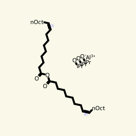 CC(C)[O-].CC(C)[O-].CC(C)[O-].CCCCCCCC/C=C\CCCCCCCC(=O)OC(=O)CCCCCCC/C=C\CCCCCCCC.[Al+3]